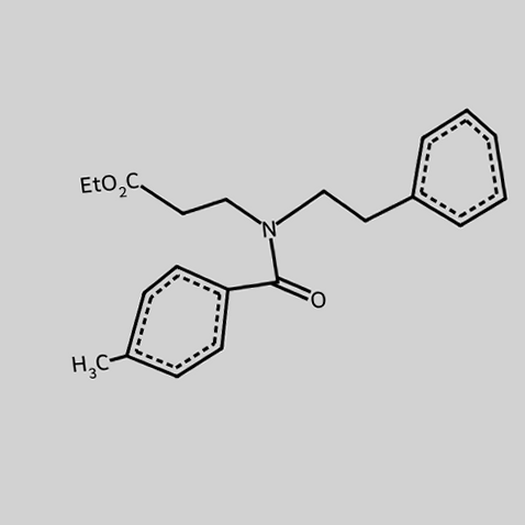 CCOC(=O)CCN(CCc1ccccc1)C(=O)c1ccc(C)cc1